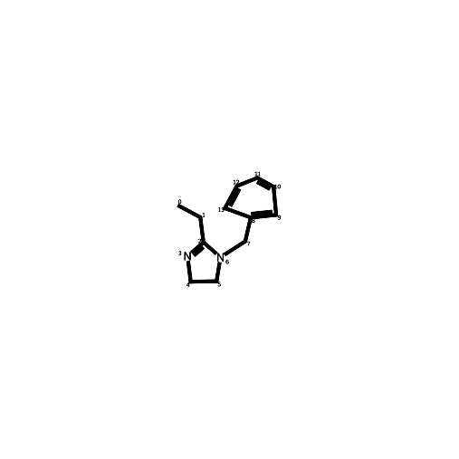 CCC1=NCCN1Cc1ccccc1